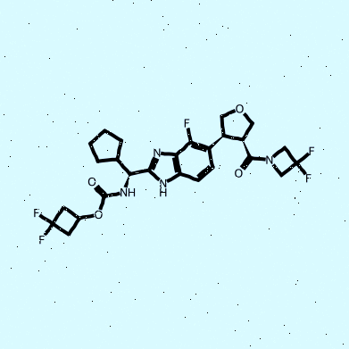 O=C(N[C@H](c1nc2c(F)c([C@H]3COC[C@H]3C(=O)N3CC(F)(F)C3)ccc2[nH]1)C1CCCC1)OC1CC(F)(F)C1